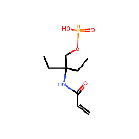 C=CC(=O)NC(CC)(CC)CO[PH](=O)O